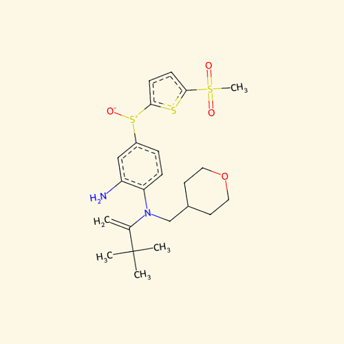 C=C(N(CC1CCOCC1)c1ccc([S+]([O-])c2ccc(S(C)(=O)=O)s2)cc1N)C(C)(C)C